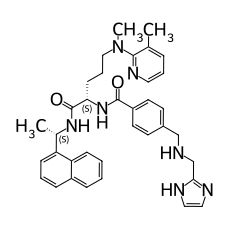 Cc1cccnc1N(C)CCC[C@H](NC(=O)c1ccc(CNCc2ncc[nH]2)cc1)C(=O)N[C@@H](C)c1cccc2ccccc12